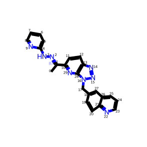 C/C(=N\Nc1ccccn1)c1ccc2nnn(Cc3ccc4ncccc4c3)c2n1